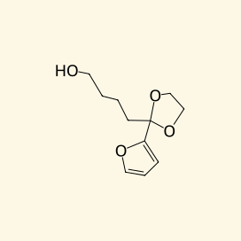 OCCCCC1(c2ccco2)OCCO1